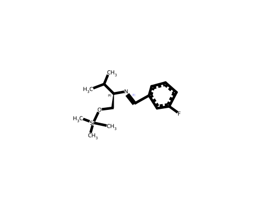 CC(C)[C@H](CO[Si](C)(C)C)/N=C/c1cccc(F)c1